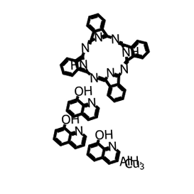 Oc1cccc2cccnc12.Oc1cccc2cccnc12.Oc1cccc2cccnc12.[AlH3].[Cu].c1ccc2c(c1)-c1nc-2nc2[nH]c(nc3nc(nc4[nH]c(n1)c1ccccc41)-c1ccccc1-3)c1ccccc21